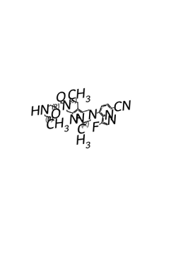 C[C@@H]1CNC[C@H](C(=O)N2Cc3nn4c(c3C[C@@H]2C)CN(c2ccc(C#N)n3ncc(F)c23)C[C@H]4C)O1